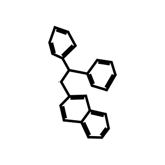 [CH](c1ccc2ccccc2c1)C(c1ccccc1)c1ccccc1